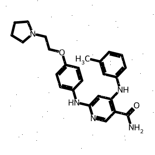 Cc1cccc(Nc2cc(Nc3ccc(OCCN4CCCC4)cc3)ncc2C(N)=O)c1